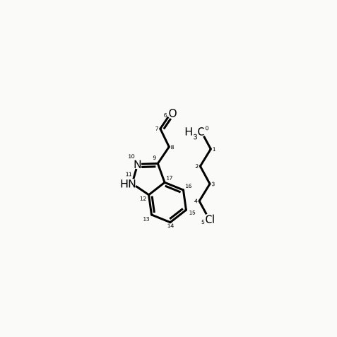 CCCCCCl.O=CCc1n[nH]c2ccccc12